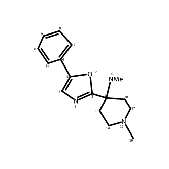 CNC1(c2ncc(-c3ccccc3)o2)CCN(C)CC1